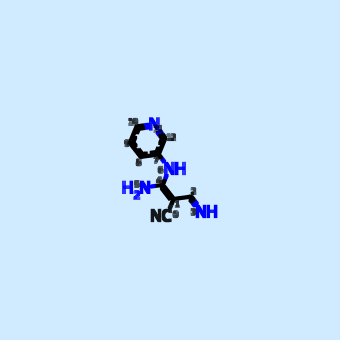 N#C/C(C=N)=C(\N)Nc1cccnc1